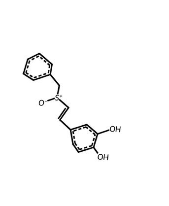 [O-][S+](/C=C/c1ccc(O)c(O)c1)Cc1ccccc1